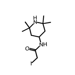 CC1(C)CC(NC(=O)CI)CC(C)(C)N1